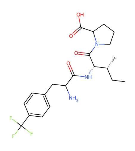 CC[C@@H](C)[C@H](NC(=O)C(N)Cc1ccc(C(F)(F)F)cc1)C(=O)N1CCCC1C(=O)O